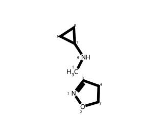 C1=NOCC1.CNC1CC1